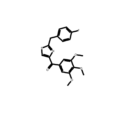 COc1cc(C(=O)c2csc(Cc3ccc(F)cc3)n2)cc(OC)c1OC